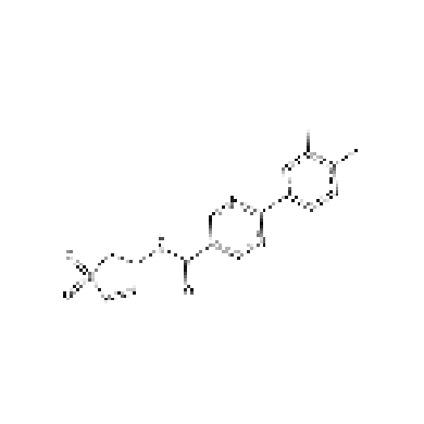 Cc1ccc(-c2ncc(C(=O)NC3C=CS(=O)(=O)C3)cn2)cc1C